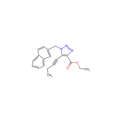 CCC#Cc1c(C(=O)OCC)nnn1Cc1ccc2ccccc2c1